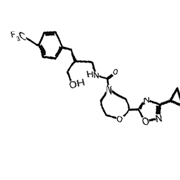 O=C(NCC(CO)Cc1ccc(C(F)(F)F)cc1)N1CCOC(c2nc(C3CC3)no2)C1